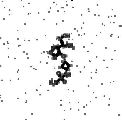 NC(=NO)c1nonc1O[C@H]1C[C@@H](NS(N)(=O)=O)C1